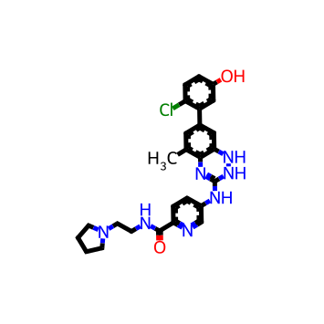 Cc1cc(-c2cc(O)ccc2Cl)cc2c1N=C(Nc1ccc(C(=O)NCCN3CCCC3)nc1)NN2